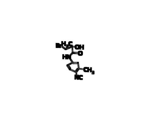 [C-]#[N+]c1ccc(NC(=O)[C@@](C)(O)CBr)cc1C